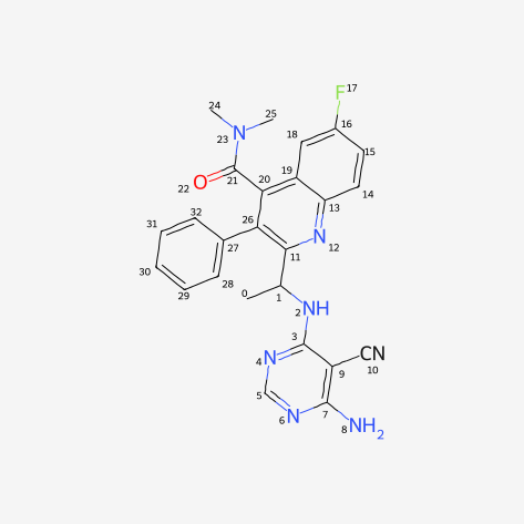 CC(Nc1ncnc(N)c1C#N)c1nc2ccc(F)cc2c(C(=O)N(C)C)c1-c1ccccc1